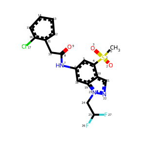 CS(=O)(=O)c1cc(NC(=O)Cc2ccccc2Cl)cc2c1cnn2CC(F)F